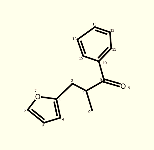 CC(Cc1ccco1)C(=O)c1ccccc1